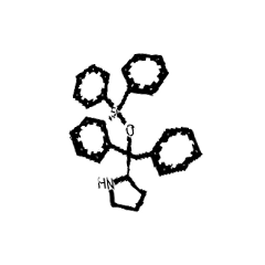 C[Si](OC(c1ccccc1)(c1ccccc1)[C@H]1CCCN1)(c1ccccc1)c1ccccc1